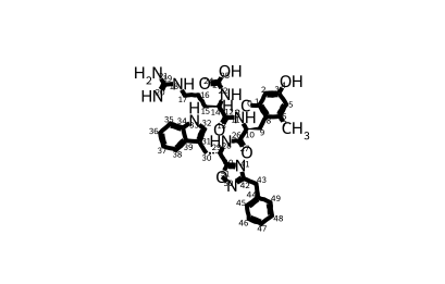 Cc1cc(O)cc(C)c1C[C@H](NC(=O)[C@@H](CCCNC(=N)N)NC(=O)O)C(=O)N[C@@H](Cc1c[nH]c2ccccc12)c1nc(Cc2ccccc2)no1